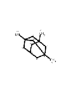 CC12CC3CC(C)(C1)CC(N=O)(C3)C2